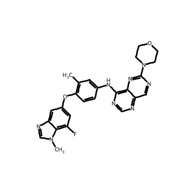 Cc1cc(Nc2ncnc3cnc(N4CCOCC4)nc23)ccc1Oc1cc(F)c2c(c1)ncn2C